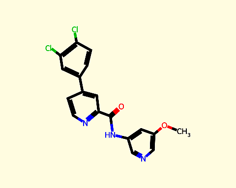 COc1cncc(NC(=O)c2cc(-c3ccc(Cl)c(Cl)c3)ccn2)c1